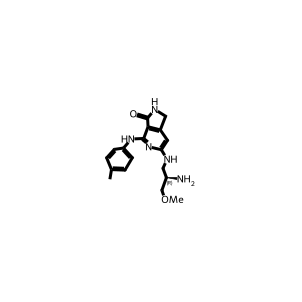 COC[C@H](N)CNc1cc2c(c(Nc3ccc(C)cc3)n1)C(=O)NC2